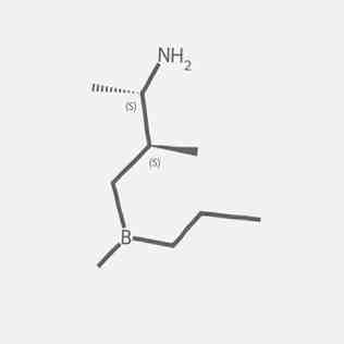 CCCB(C)C[C@H](C)[C@H](C)N